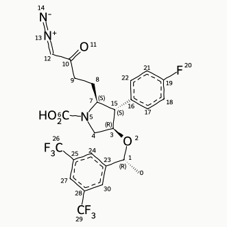 C[C@@H](O[C@H]1CN(C(=O)O)[C@@H](CCC(=O)C=[N+]=[N-])[C@@H]1c1ccc(F)cc1)c1cc(C(F)(F)F)cc(C(F)(F)F)c1